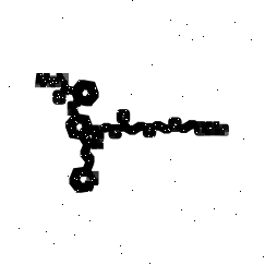 CNC(=O)c1ccccc1Sc1ccc2c(/C=C/c3ccccn3)nn(COC(=O)CCOCCOCCOC)c2c1